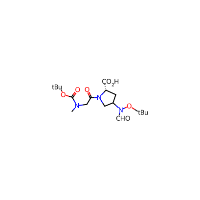 CN(CC(=O)N1CC(N(C=O)OC(C)(C)C)C[C@H]1C(=O)O)C(=O)OC(C)(C)C